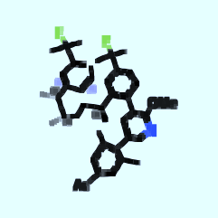 C=C(/C=C(\C=C/C)[C@@H](C)[C@@H](C)CC[C@H](C)c1cc(C(C)(C)F)ccc1-c1cc(-c2c(C)cc(C(C)=O)cc2C)cnc1OC)C(C)(C)F